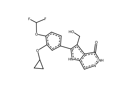 O=c1[nH]ncc2[nH]c(-c3ccc(OC(F)F)c(OC4CC4)c3)c(CO)c12